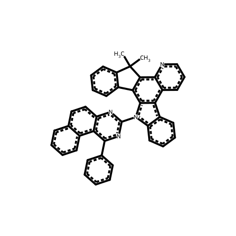 CC1(C)c2ccccc2-c2c1c1ncccc1c1c3ccccc3n(-c3nc(-c4ccccc4)c4c(ccc5ccccc54)n3)c21